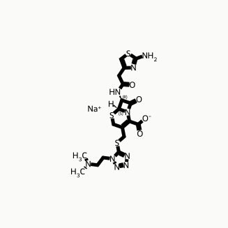 CN(C)CCn1nnnc1SCC1=C(C(=O)[O-])N2C(=O)[C@@H](NC(=O)Cc3csc(N)n3)[C@@H]2SC1.[Na+]